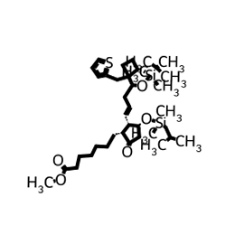 COC(=O)CCCCCC[C@H]1C(=O)C[C@@H](O[Si](C)(C)CC(C)C)[C@H]1C=CCC(O[Si](C)(C)C(C)(C)C)C1(Cc2cccs2)CCC1